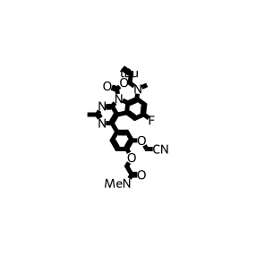 C=CCN(C)c1cc(F)cc2c3c(-c4ccc(OCC(=O)NC)c(OCC#N)c4)nc(C)nc3n(C(=O)OC(C)(C)C)c12